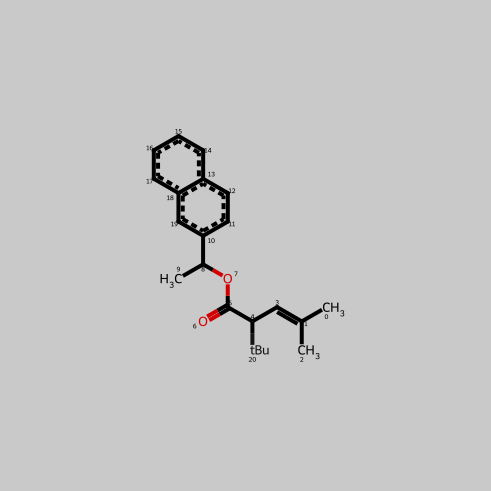 CC(C)=CC(C(=O)OC(C)c1ccc2ccccc2c1)C(C)(C)C